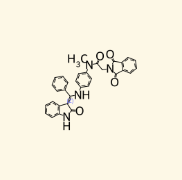 CN(C(=O)CN1C(=O)c2ccccc2C1=O)c1ccc(N/C(=C2\C(=O)Nc3ccccc32)c2ccccc2)cc1